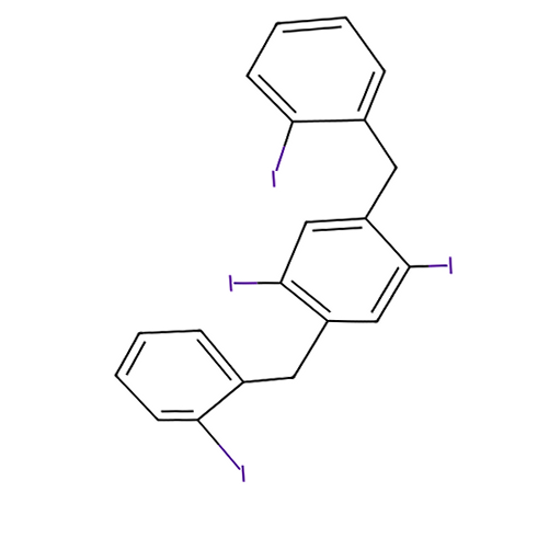 Ic1ccccc1Cc1cc(I)c(Cc2ccccc2I)cc1I